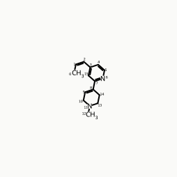 C/C=C\c1ccnc(C2=CCN(C)CC2)c1